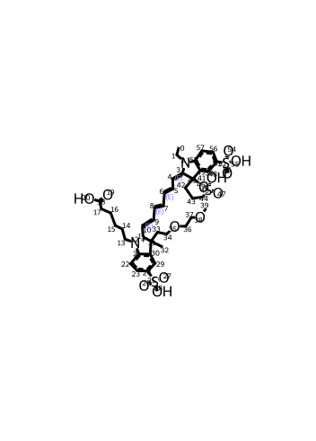 CCN1/C(=C/C=C/C=C/C=C/C2=[N+](CCCCCC(=O)O)c3ccc(S(=O)(=O)O)cc3C2(C)CCOCCOC)C(C)(CCCS(=O)(=O)O)c2cc(S(=O)(=O)O)ccc21